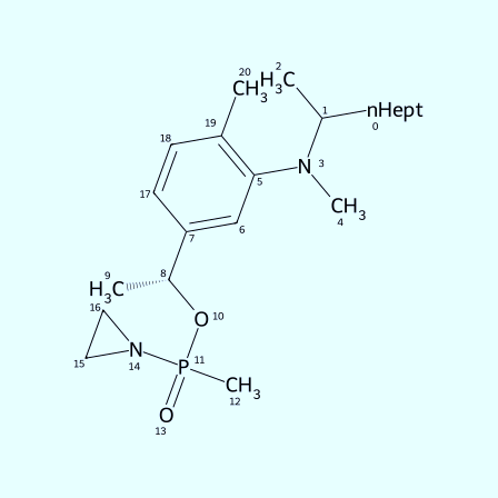 CCCCCCCC(C)N(C)c1cc([C@@H](C)OP(C)(=O)N2CC2)ccc1C